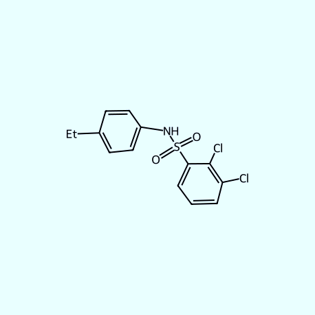 CCc1ccc(NS(=O)(=O)c2cccc(Cl)c2Cl)cc1